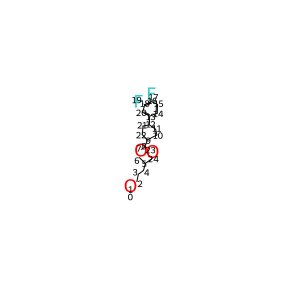 COCCCC1COC(C2CCC(c3ccc(F)c(F)c3)CC2)OC1